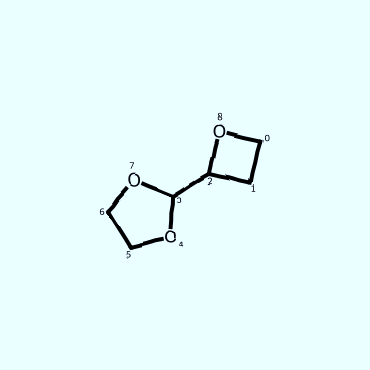 C1CC(C2OCCO2)O1